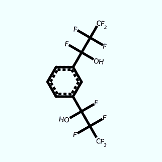 OC(F)(c1cccc(C(O)(F)C(F)(F)C(F)(F)F)c1)C(F)(F)C(F)(F)F